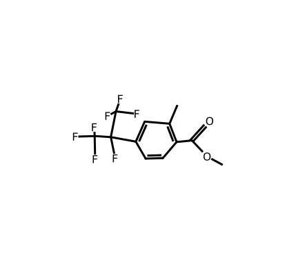 COC(=O)c1ccc(C(F)(C(F)(F)F)C(F)(F)F)cc1C